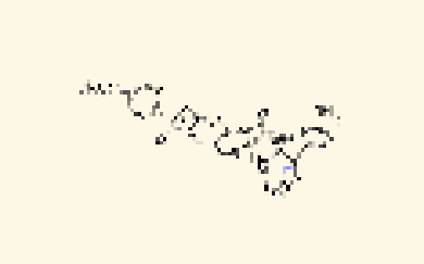 Nc1nc(/C(=N/O)C(=O)N[C@@H]2C(=O)N3C(C(=O)O)=C(C=C4CCN(c5ccc(C(=O)O)cc5)C4=O)CS[C@H]23)cs1